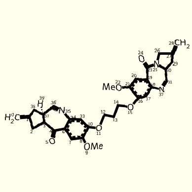 C=C1CC2C(=O)c3cc(OC)c(OCCCOc4cc5c(cc4OC)C(=O)N4CC(=C)CC4C=N5)cc3N=C[C@@H]2C1